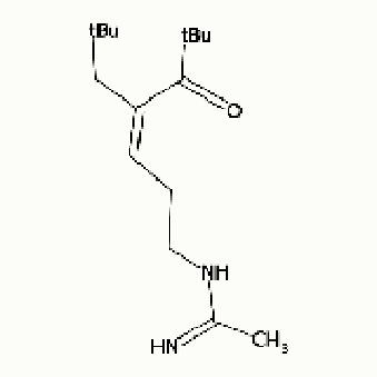 CC(=N)NCC/C=C(/CC(C)(C)C)C(=O)C(C)(C)C